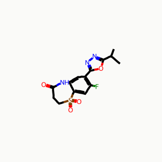 CC(C)c1nnc(-c2cc3c(cc2F)S(=O)(=O)CCC(=O)N3)o1